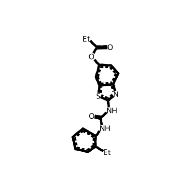 CCC(=O)Oc1ccc2nc(NC(=O)Nc3ccccc3CC)sc2c1